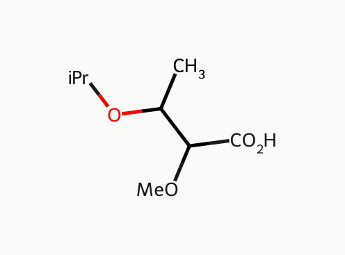 COC(C(=O)O)C(C)OC(C)C